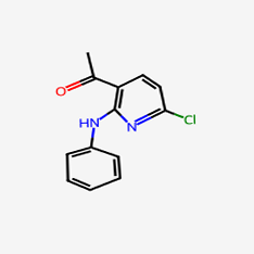 CC(=O)c1ccc(Cl)nc1Nc1ccccc1